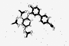 CC(=O)O[C@@H]1[C@@H](OC(C)=O)[C@@H](Oc2cc(-c3ccc(C#N)nc3)ccc2Cl)SC[C@H]1OC(C)=O